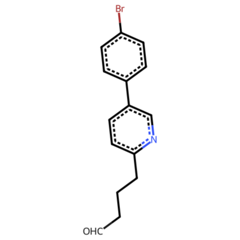 O=CCCCc1ccc(-c2ccc(Br)cc2)cn1